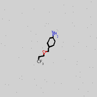 NC1CCC(COCCC(F)(F)F)CC1